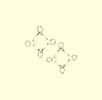 [Er].c1ccc2c(c1)-c1nc-2nc2[nH]c(nc3nc(nc4[nH]c(n1)c1ccccc41)-c1ccccc1-3)c1ccccc21.c1ccc2c(c1)-c1nc-2nc2[nH]c(nc3nc(nc4[nH]c(n1)c1ccccc41)-c1ccccc1-3)c1ccccc21